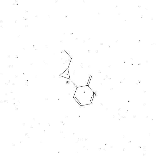 C=C1N=CC=CC1[C@@H]1CC1CC